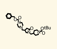 CC(C)(C)OC(=O)N1CCC(CN2CC(CN3CCN(C(=O)OCc4ccccc4)CC3)CC2=O)CC1